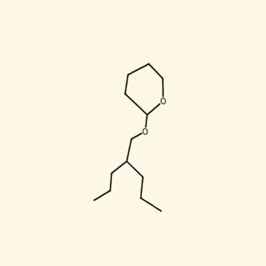 CCCC(CCC)COC1CCCCO1